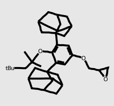 CC(C)(C)CC(C)(C)Oc1c(C23CC4CC(CC(C4)C2)C3)cc(OCC2CO2)cc1C12CC3CC(CC(C3)C1)C2